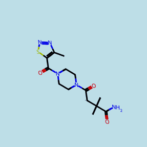 Cc1nnsc1C(=O)N1CCN(C(=O)[CH]C(C)(C)C(N)=O)CC1